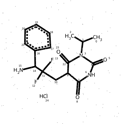 CC(C)N1C(=O)NC(=O)C(CC(F)(F)C(N)c2ccccc2)C1=O.Cl